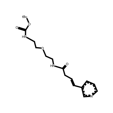 CC(C)(C)OC(=O)NCCOCCNC(=O)CC=Cc1cccnc1